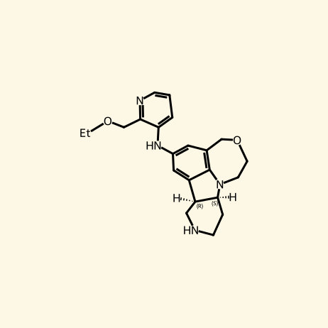 CCOCc1ncccc1Nc1cc2c3c(c1)[C@@H]1CNCC[C@@H]1N3CCOC2